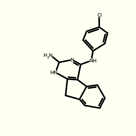 NC1N=C(Nc2ccc(Cl)cc2)C2=C(Cc3ccccc32)N1